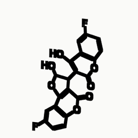 O=c1oc2ccc(F)cc2c(O)c1C1c2c(c3cc(F)ccc3oc2=O)OC1O